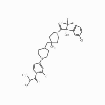 CN(C)C(=O)c1ccc(N2CCC(CC3(C)CCN(C(=O)[C@](O)(c4cccc(Cl)c4)C(F)(F)F)CC3)CC2)nc1Cl